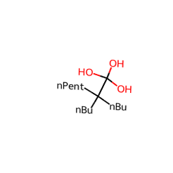 CCCCCC(CCCC)(CCCC)C(O)(O)O